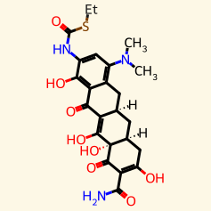 CCSC(=O)Nc1cc(N(C)C)c2c(c1O)C(=O)C1=C(O)[C@]3(O)C(=O)C(C(N)=O)=C(O)C[C@@H]3C[C@@H]1C2